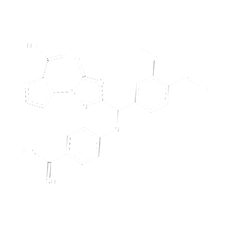 COc1ccc(C(Nc2ccc(C(=N)N)cc2)c2nn(-c3ccsc3C(=O)O)c(=O)[nH]2)cc1OC